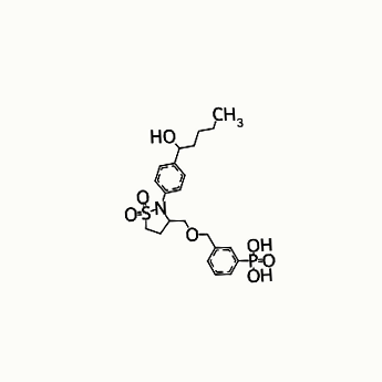 CCCCC(O)c1ccc(N2C(COCc3cccc(P(=O)(O)O)c3)CCS2(=O)=O)cc1